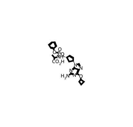 CC(N[P@@](=O)(OC[C@@H]1C=C[C@H](n2cnc3c(OC4CCC4)nc(N)nc32)C1)Oc1ccccc1)C(=O)O